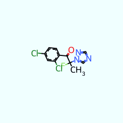 CC(F)(C(=O)c1ccc(Cl)cc1Cl)n1cncn1